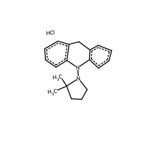 CC1(C)CCCN1N1c2ccccc2Cc2ccccc21.Cl